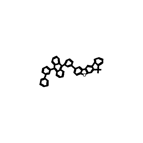 CC1(C)c2ccccc2-c2cc3c(cc21)oc1ccc(-c2cccc(-c4c5ccccc5c(-c5cccc(-c6ccccc6)c5)c5ccccc45)c2)cc13